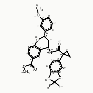 COC(=O)c1ccc2c(c1)[C@H](NC(=O)C1(c3ccc4c(c3)OC(F)(F)O4)CC1)C[C@H](c1cccc(OC)c1)O2